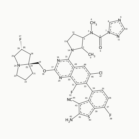 CC1C(N(C)C(=O)n2cncn2)CCN1c1nc(OC[C@@]23CCCN2C[C@H](F)C3)nc2c(F)c(-c3ccc(F)c4sc(N)c(C#N)c34)c(Cl)cc12